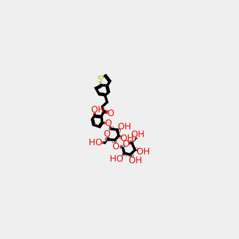 O=C(CCc1ccc2sccc2c1)c1c(O)cccc1O[C@@H]1O[C@H](CO)[C@@H](O[C@@H]2O[C@H](CO)[C@@H](O)[C@H](O)[C@H]2O)[C@H](O)[C@H]1O